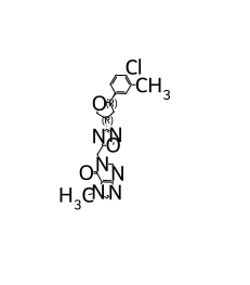 Cc1cc([C@H]2C[C@H](c3noc(Cn4cnc5ncn(C)c5c4=O)n3)CO2)ccc1Cl